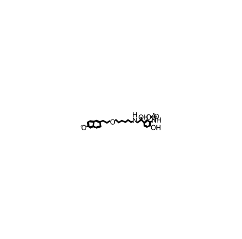 COc1ccc2cc(CCCOCCCCCCNCC(O)c3ccc(O)c(NS(C)(=O)=O)c3)ccc2c1